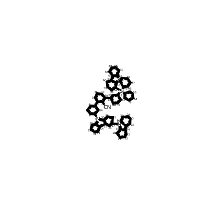 N#Cc1c(-c2cccc(-n3c4ccccc4c4cc(-n5c6ccccc6c6ccccc65)ccc43)c2)cccc1-c1cccc([Si](c2ccccc2)(c2ccccc2)c2cccc3c2oc2ccccc23)c1